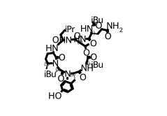 CCC(C)C(=O)N[C@@H](CCC(N)=O)C(=O)N[C@@H]1C(=O)NC(CC(C)C)C(=O)NC2CC[C@H](C)N(C2=O)[C@@H](C(C)CC)C(=O)N(C)[C@@H](Cc2ccc(O)cc2)C(=O)N[C@@H](C(C)CC)C(=O)OC1C